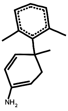 Cc1cccc(C)c1C1(C)C=CC(N)=CC1